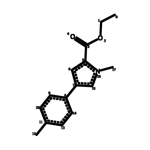 CCOC(=O)c1cc(-c2ccc(C)cc2)cn1C